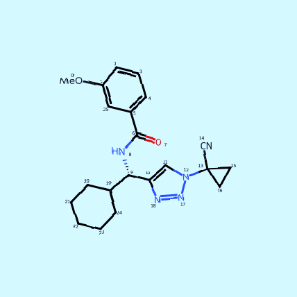 COc1cccc(C(=O)N[C@H](c2cn(C3(C#N)CC3)nn2)C2CCCCC2)c1